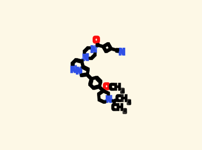 COC1(c2ccc(-c3cc4c(N5CCN(C(=O)C6CC(C#N)C6)CC5)ccnn4c3)cc2)CCCN(C(C)C)C1